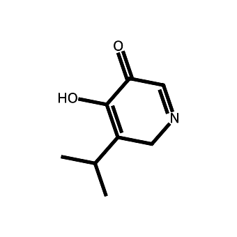 CC(C)C1=C(O)C(=O)C=NC1